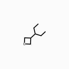 CCC(CC)C1COC1